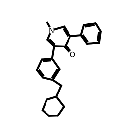 Cn1cc(-c2ccccc2)c(=O)c(-c2cccc(CC3CCCCC3)c2)c1